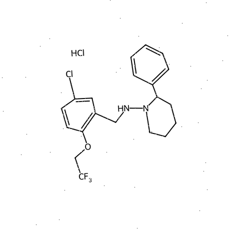 Cl.FC(F)(F)COc1ccc(Cl)cc1CNN1CCCCC1c1ccccc1